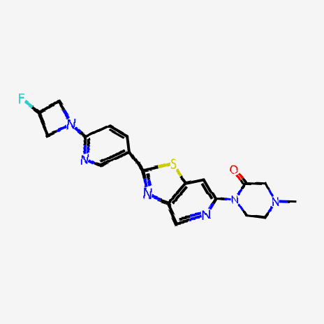 CN1CCN(c2cc3sc(-c4ccc(N5CC(F)C5)nc4)nc3cn2)C(=O)C1